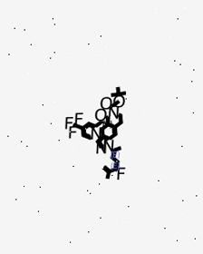 C=C(C)/C(F)=C\C=C(/C)n1ncc2c1C=C1CCN(C(=O)OC(C)(C)C)C[C@@]1(C(=O)c1cc(C(F)(F)F)ccn1)C2